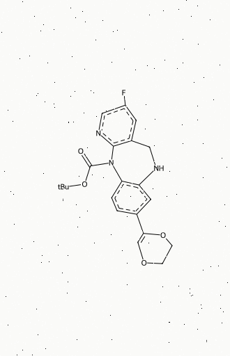 CC(C)(C)OC(=O)N1c2ccc(C3=COCCO3)cc2NCc2cc(F)cnc21